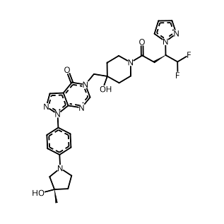 C[C@]1(O)CCN(c2ccc(-n3ncc4c(=O)n(CC5(O)CCN(C(=O)C[C@H](C(F)F)n6cccn6)CC5)cnc43)cc2)C1